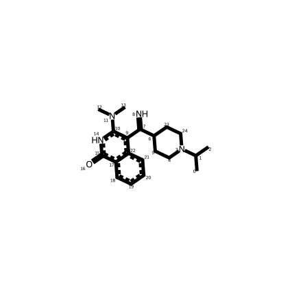 CC(C)N1CCC(C(=N)c2c(N(C)C)[nH]c(=O)c3ccccc23)CC1